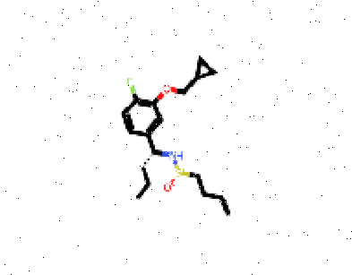 CCCC[S@+]([O-])N[C@H](CCC)c1ccc(F)c(OCC2CC2)c1